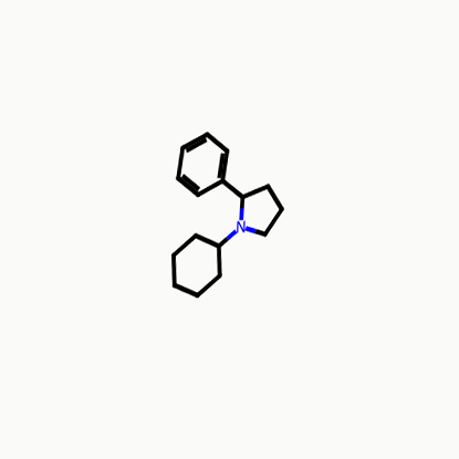 c1ccc(C2CCCN2C2CCCCC2)cc1